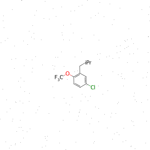 CC(C)Cc1cc(Cl)ccc1OC(F)(F)F